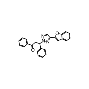 O=C(CC(c1ccccc1)n1ncc(-c2cc3ccccc3o2)n1)c1ccccc1